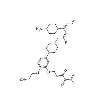 C=C/C=C(\C=C(\F)CC1CCC(c2ccc(OCCN=O)c(OCOC(=O)C(=O)C(=C)C)c2)CC1)C1CCC(N)CC1